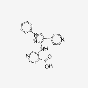 O=C(O)c1ccncc1Nc1nn(-c2ccccc2)cc1-c1ccncc1